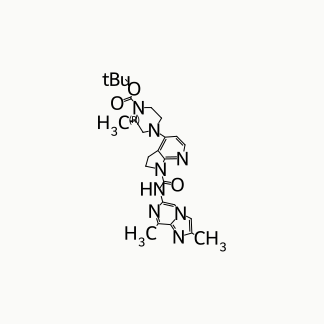 Cc1cn2cc(NC(=O)N3CCc4c(N5CCN(C(=O)OC(C)(C)C)[C@H](C)C5)ccnc43)nc(C)c2n1